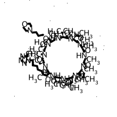 CC[C@@H]1NC(=O)[C@H]([C@H](O)[C@H](C)CCCCCn2nnnc2C)NC(=O)[C@H](C(C)C)N(C)C(=O)[C@H](CC(C)C)N(C)C(=O)[C@H](CC(C)C)N(C)C(=O)[C@@H](C)NC(=O)[C@H](C)NC(=O)[C@H](CC(C)C)N(C)C(=O)[C@H](C(C)C)NC(=O)[C@H]([C@@H](C)OCCCCN2CCOCC2)N(C)C(=O)[C@@H](C)N(C)C1=O